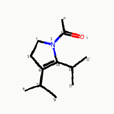 CC(=O)N1CCC(C(C)C)=C1C(C)C